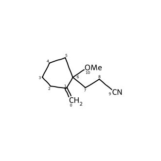 C=C1CCCCC1(CCC#N)OC